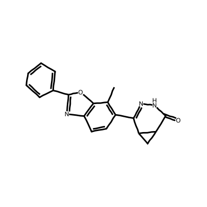 Cc1c(C2=NNC(=O)C3CC23)ccc2nc(-c3ccccc3)oc12